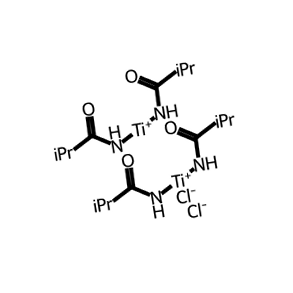 CC(C)C(=O)[NH][Ti+][NH]C(=O)C(C)C.CC(C)C(=O)[NH][Ti+][NH]C(=O)C(C)C.[Cl-].[Cl-]